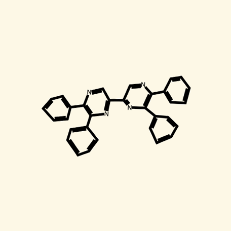 c1ccc(-c2ncc(-c3cnc(-c4ccccc4)c(-c4ccccc4)n3)nc2-c2ccccc2)cc1